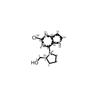 OC[C@@H]1CCCN1c1nc(Cl)nc2ccsc12